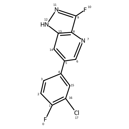 Fc1ccc(-c2cnc3c(F)n[nH]c3c2)cc1Cl